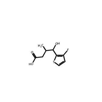 CC(CC(=O)O)C(O)c1sccc1F